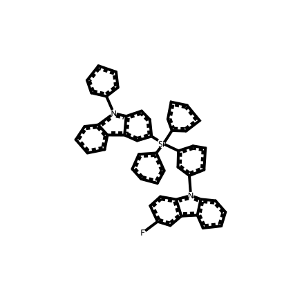 Fc1ccc2c(c1)c1ccccc1n2-c1cccc([Si](c2ccccc2)(c2ccccc2)c2ccc3c(c2)c2ccccc2n3-c2ccccc2)c1